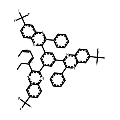 C/C=C\C=C(/CC)c1nc2cc(C(F)(F)F)ccc2nc1-c1cc(-c2nc3ccc(C(F)(F)F)cc3nc2-c2ccccc2)cc(-c2nc3ccc(C(F)(F)F)cc3nc2-c2ccccc2)c1